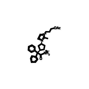 CC(=O)OCCC[n+]1ccn([C@@H]2CC[C@@H](C(C(N)=O)(c3ccccc3)c3ccccc3)C2)c1C.[Br-]